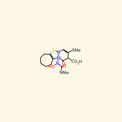 CNC(=O)N(O)[N+]12C(=O)C(C(=O)O)C(SC)=CN1SC1=C2CCCCC1